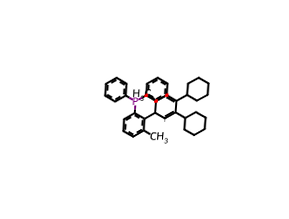 Cc1cccc(P(c2ccccc2)c2ccccc2)c1C1[C]=C(C2CCCCC2)C(C2CCCCC2)=CC1C